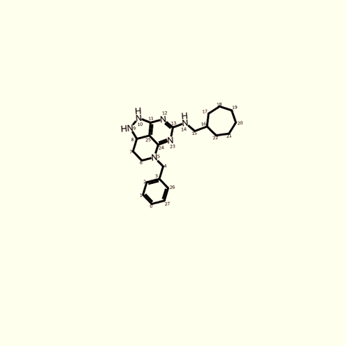 c1ccc(CN2CCC3NNc4nc(NCC5CCCCCC5)nc2c43)cc1